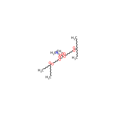 CCCCCCCCC(CCCCCC)C(=O)OCCCCCCC(=O)O[C@@H](CC(=O)OCCCCCOC(=O)C(CCCCCC)CCCCCCCC)C(=O)OCCN(C)C